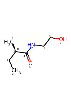 CC[C@@H](C)C(=O)NCCO